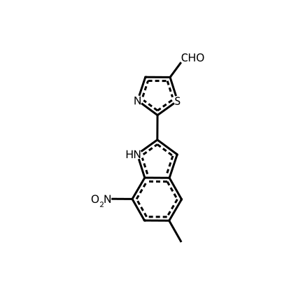 Cc1cc([N+](=O)[O-])c2[nH]c(-c3ncc(C=O)s3)cc2c1